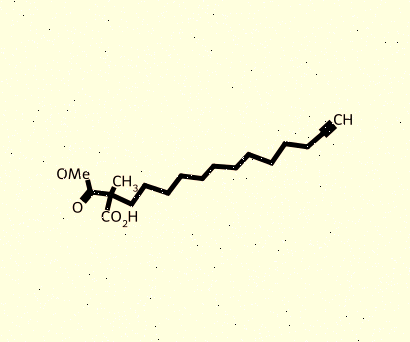 C#CCCCCCCCCCCCC(C)(C(=O)O)C(=O)OC